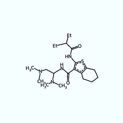 CCC(CC)C(=O)Nc1sc2c(c1C(=O)NC(CN(C)C)N(C)C)CCCC2